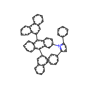 c1ccc(-c2ccc(-c3ccccc3)n2-c2ccc3c(-c4cc5ccccc5c5ccccc45)c4ccccc4c(-c4ccc5ccccc5c4)c3c2)cc1